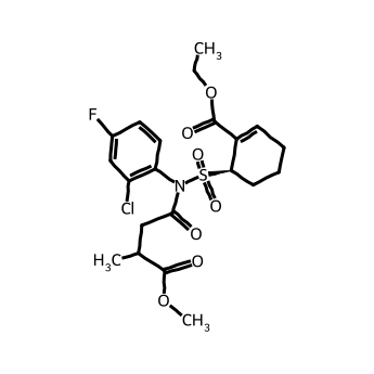 CCOC(=O)C1=CCCC[C@H]1S(=O)(=O)N(C(=O)CC(C)C(=O)OC)c1ccc(F)cc1Cl